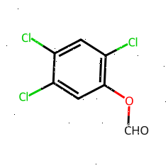 O=COc1cc(Cl)c(Cl)cc1Cl